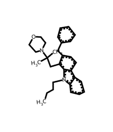 CCCCn1c2ccccc2c2ccc(Cc3ccccc3)c(CC(C)(C)N3CCOCC3)c21